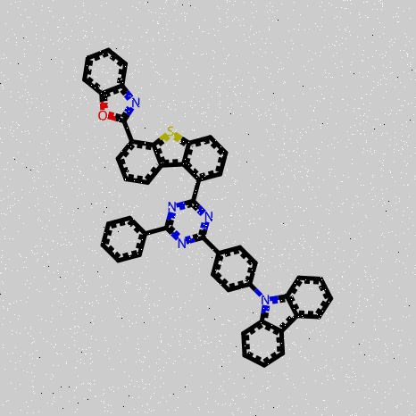 c1ccc(-c2nc(-c3ccc(-n4c5ccccc5c5ccccc54)cc3)nc(-c3cccc4sc5c(-c6nc7ccccc7o6)cccc5c34)n2)cc1